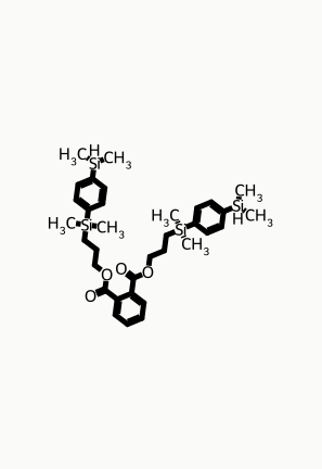 C[SiH](C)c1ccc([Si](C)(C)CCCOC(=O)c2ccccc2C(=O)OCCC[Si](C)(C)c2ccc([SiH](C)C)cc2)cc1